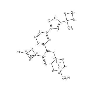 CC1(c2nc(-c3cccc(N(CC45CCC(C(=O)O)(CC4)CC5)C(=O)C45CC(F)(C4)C5)c3)no2)COC1